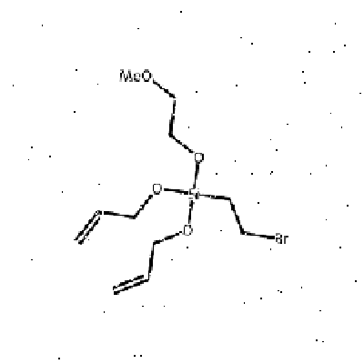 C=CCO[Si](CCBr)(OCC=C)OCCOC